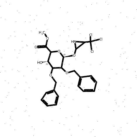 COC(=O)C1O[C@@H](OC2NC2C(Cl)(Cl)Cl)C(OCc2ccccc2)C(OCc2ccccc2)[C@@H]1O